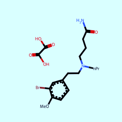 CCCN(CCCC(N)=O)CCc1ccc(OC)c(Br)c1.O=C(O)C(=O)O